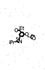 CCC(=O)c1cc(OC[C@H]2CCOC2)cc(-c2ncc(C(C)C)s2)c1